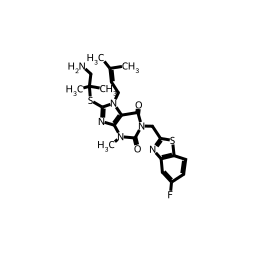 CC(C)=CCn1c(SC(C)(C)CN)nc2c1c(=O)n(Cc1nc3cc(F)ccc3s1)c(=O)n2C